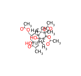 CC(=O)OCC1=C[C@H]2C(C)(C)[C@](C)(OC(C)=O)[C@H](OC(C)=O)[C@@H](C)[C@]2(O)[C@@H]2C=C(C)C(=O)[C@@]2(O)C1